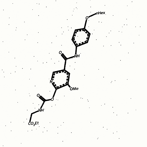 CCCCCCOc1ccc(NC(=O)c2cnc(OC(=O)NCC(=O)OCC)c(OC)c2)cc1